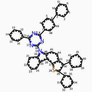 c1ccc(-c2ccc(-c3nc(-c4ccccc4)nc(-n4c5ccccc5c5c6sc(-c7ccccc7)c(-c7ccccc7)c6ccc54)n3)cc2)cc1